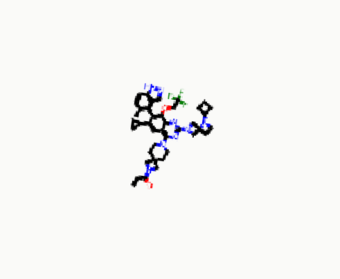 C=CC(=O)N1CC2(CCN(c3nc(N4CC5(CCN5C5CCC5)C4)nc4c(OCC(F)(F)F)c(-c5c(C)ccc6[nH]ncc56)c(C5CC5)cc34)CC2)C1